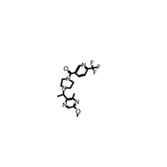 COc1cnc(C(C)N2CCN(C(=O)c3ccc(C(F)(F)F)nc3)CC2)c(C)n1